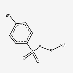 O=S(=O)(SSS)c1ccc(Br)cc1